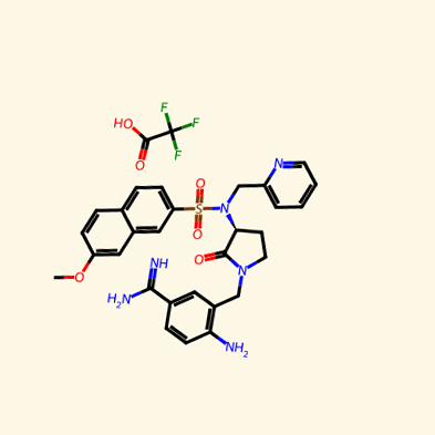 COc1ccc2ccc(S(=O)(=O)N(Cc3ccccn3)[C@H]3CCN(Cc4cc(C(=N)N)ccc4N)C3=O)cc2c1.O=C(O)C(F)(F)F